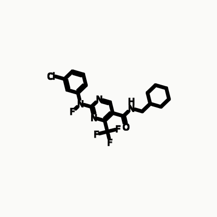 O=C(NCC1CCCCC1)c1cnc(N(F)c2cccc(Cl)c2)nc1C(F)(F)F